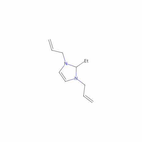 C=CCN1C=CN(CC=C)C1CC